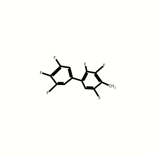 Cc1c(F)cc(-c2cc(F)c(F)c(F)c2)c(F)c1F